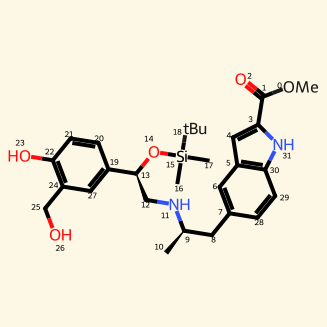 COC(=O)c1cc2cc(C[C@@H](C)NC[C@H](O[Si](C)(C)C(C)(C)C)c3ccc(O)c(CO)c3)ccc2[nH]1